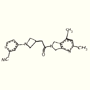 Cc1cc(C)c2c(n1)CN(C(=O)CC1CN(c3ccnc(C#N)c3)C1)C2